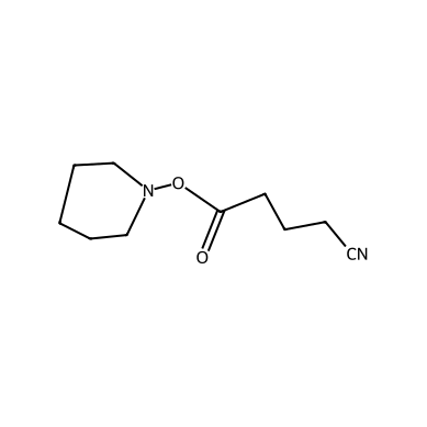 N#CCCCC(=O)ON1CCCCC1